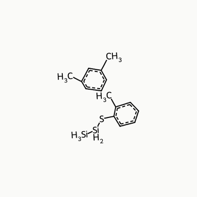 Cc1cccc(C)c1.Cc1ccccc1S[SiH2][SiH3]